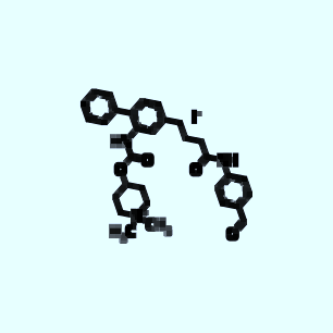 C[N+]1(C)CCC(OC(=O)Nc2cc(CCCC(=O)Nc3ccc(C=O)cc3)ccc2-c2ccccc2)CC1.[I-]